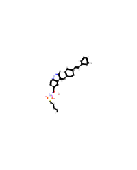 CCCCCS(=O)(=O)NC(=O)c1ccc2[nH]c(C)c(Cc3ccc(/C=C/c4ccccc4)cc3)c2c1